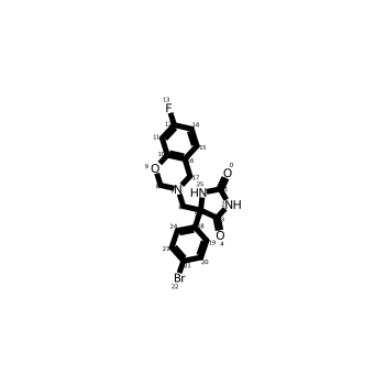 O=C1NC(=O)C(CN2COc3cc(F)ccc3C2)(c2ccc(Br)cc2)N1